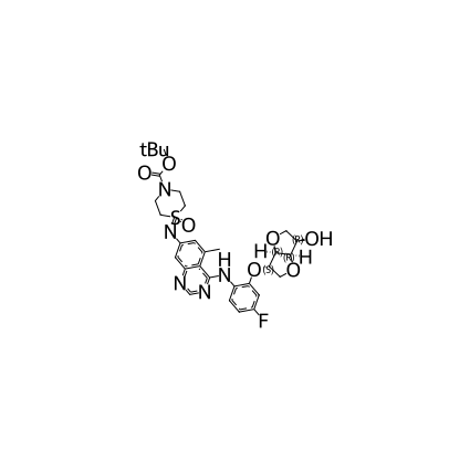 Cc1cc(N=S2(=O)CCN(C(=O)OC(C)(C)C)CC2)cc2ncnc(Nc3ccc(F)cc3O[C@H]3CO[C@H]4[C@@H]3OC[C@H]4O)c12